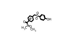 CON(C)C(=O)C12CCC(CS(=O)(=O)c3ccc(O)cc3)(CC1)CC2